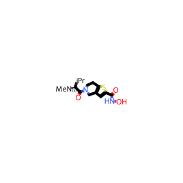 CN[C@H](C(=O)N1CCc2sc(C(=O)NO)cc2C1)C(C)C